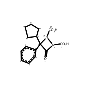 O=C(O)N1C(=O)C(c2ccccc2)(C2CCCC2)N1C(=O)O